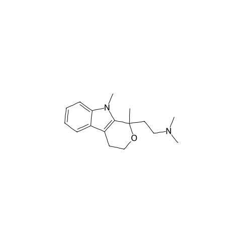 CN(C)CCC1(C)OCCc2c1n(C)c1ccccc21